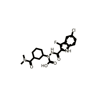 CN(C)C(=O)C1CCCC(N(NC(=O)c2[nH]c3ccc(Cl)cc3c2F)C(=O)O)C1